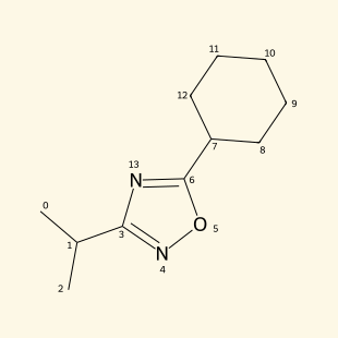 CC(C)c1noc(C2CCCCC2)n1